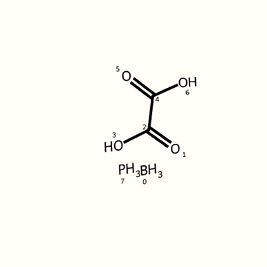 B.O=C(O)C(=O)O.P